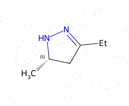 CCC1=NN[C@@H](C)C1